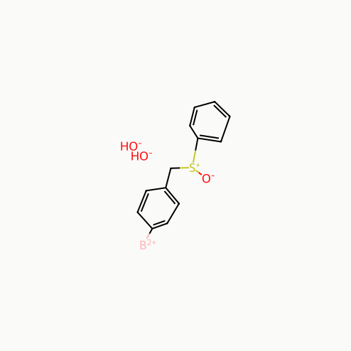 [B+2]c1ccc(C[S+]([O-])c2ccccc2)cc1.[OH-].[OH-]